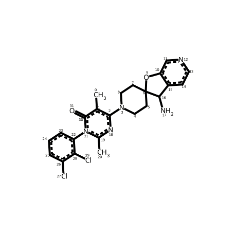 Cc1c(N2CCC3(CC2)Oc2cnccc2C3N)nc(C)n(-c2cccc(Cl)c2Cl)c1=O